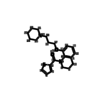 O=C(c1cccs1)N1CCCc2cccc(OCCCN3CCCCC3)c21